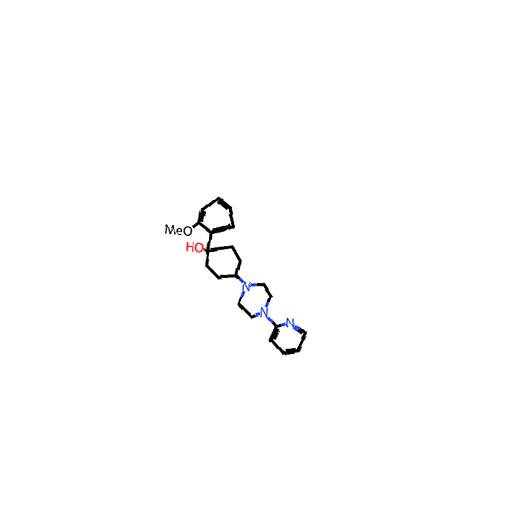 COc1ccccc1C1(O)CCC(N2CCN(c3ccccn3)CC2)CC1